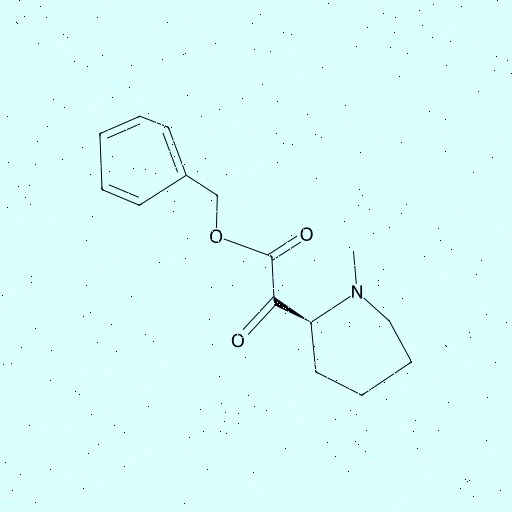 CN1CCCC[C@H]1C(=O)C(=O)OCc1ccccc1